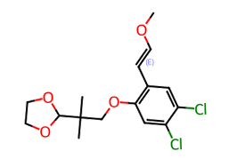 CO/C=C/c1cc(Cl)c(Cl)cc1OCC(C)(C)C1OCCO1